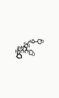 CC(C)c1nc2ccccc2n1-c1nc(N2CCOCC2)c2nc(CN3CC(C4CCOCC4)C3)sc2n1